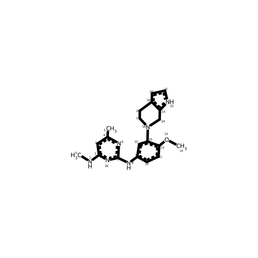 CNc1cc(C)nc(Nc2ccc(OC)c(N3CCc4cc[nH]c4C3)c2)n1